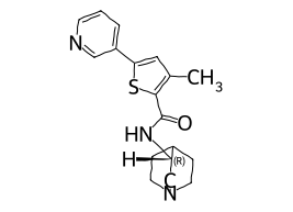 Cc1cc(-c2cccnc2)sc1C(=O)N[C@H]1CN2CCC1CC2